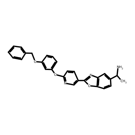 CC(N)c1ccc2oc(-c3ccc(Oc4cccc(OCc5ccccc5)c4)nc3)nc2c1